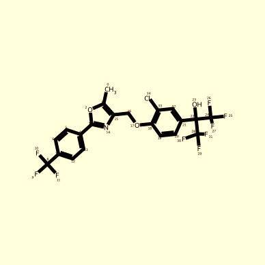 Cc1oc(-c2ccc(C(F)(F)F)cc2)nc1COc1ccc(C(O)(C(F)(F)F)C(F)(F)F)cc1Cl